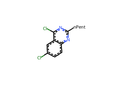 CCCCCc1nc(Cl)c2cc(Cl)ccc2n1